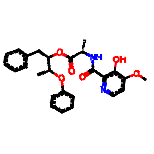 COc1ccnc(C(=O)N[C@@H](C)C(=O)O[C@H](Cc2ccccc2)[C@H](C)Oc2ccccc2)c1O